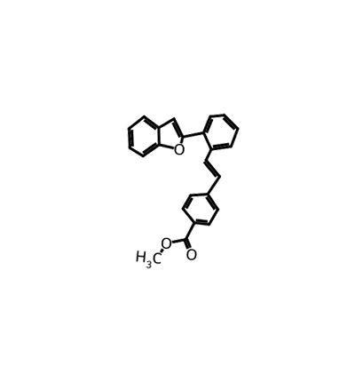 COC(=O)c1ccc(C=Cc2ccccc2-c2cc3ccccc3o2)cc1